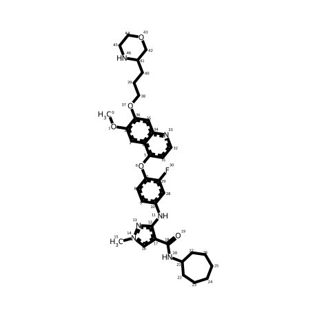 COc1cc2c(Oc3ccc(Nc4nn(C)cc4C(=O)NC4CCCCCC4)cc3F)ccnc2cc1OCCCC1COCCN1